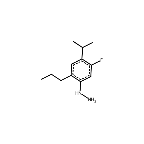 CCCc1cc(C(C)C)c(F)cc1NN